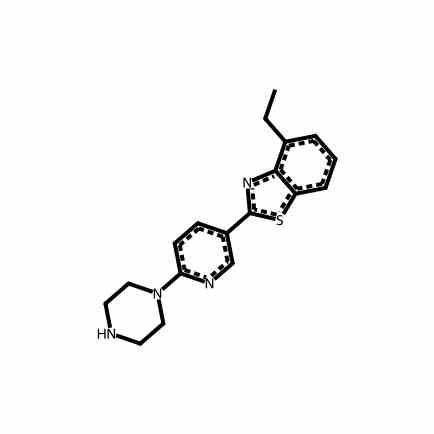 CCc1cccc2sc(-c3ccc(N4CCNCC4)nc3)nc12